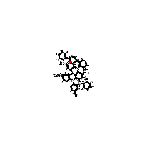 CC(C)(C)c1ccc2c(c1)B1c3cc(C(C)(C)C)ccc3N3c4ccc(C(C)(C)C)cc4B4c5ccccc5Sc5cc(c1c3c54)N2c1c(-c2ccc(-c3ccccc3)cc2)cccc1C(F)(F)F